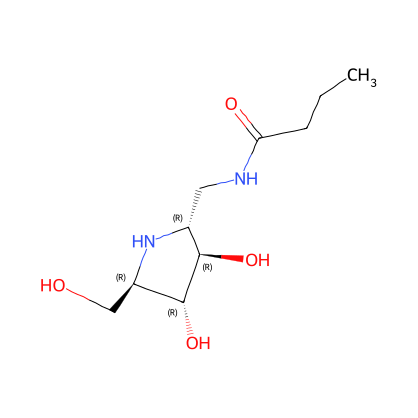 CCCC(=O)NC[C@H]1N[C@H](CO)[C@@H](O)[C@@H]1O